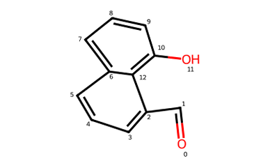 O=Cc1cccc2cccc(O)c12